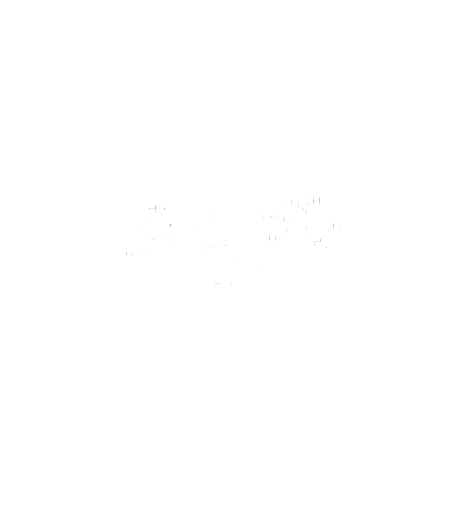 CC(=O)O[C@H](C)C(=O)Oc1cc(O[Si](C)(C)C(C)(C)C)ccc1O